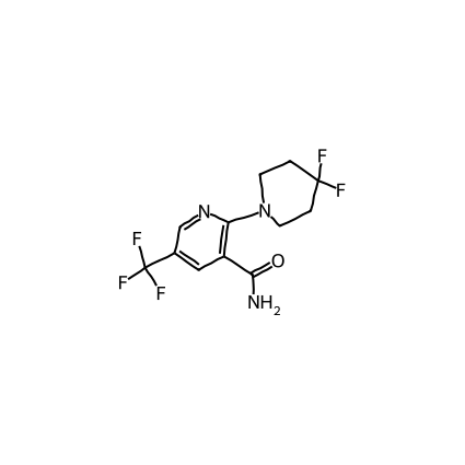 NC(=O)c1cc(C(F)(F)F)cnc1N1CCC(F)(F)CC1